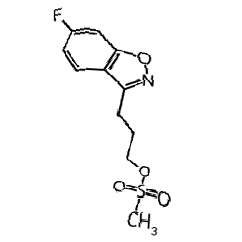 CS(=O)(=O)OCCCc1noc2cc(F)ccc12